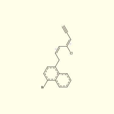 C#C/C=C(Cl)\C=C/Cc1ccc(Br)c2ccccc12